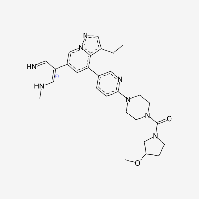 CCc1cnn2cc(/C(C=N)=C/NC)cc(-c3ccc(N4CCN(C(=O)N5CCC(OC)C5)CC4)nc3)c12